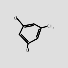 Cc1cc(Cl)cc(Cl)c1